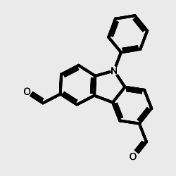 O=Cc1ccc2c(c1)c1cc(C=O)ccc1n2-c1ccccc1